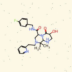 CC1(C)C2NCC(O)C(=O)N2C(C(=O)NCc2ccc(F)cc2)CN1CCc1ccccn1